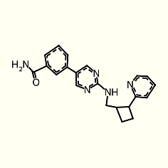 NC(=O)c1cccc(-c2cnc(NCC3CCC3c3ccccn3)nc2)c1